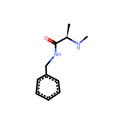 CN[C@H](C)C(=O)NCc1ccccc1